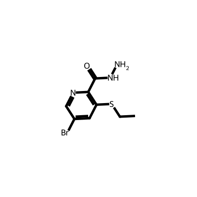 CCSc1cc(Br)cnc1C(=O)NN